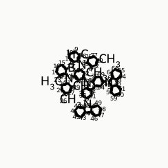 Cc1cc(C)c(N2c3ccccc3B3c4ccccc4N(c4c(C)cc(C)cc4C)c4cc(-n5c6ccc(-n7c8ccccc8c8ccccc87)cc6c6cc(-n7c8ccccc8c8ccccc87)ccc65)cc2c43)c(C)c1